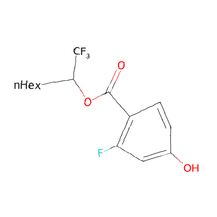 CCCCCCC(OC(=O)c1ccc(O)cc1F)C(F)(F)F